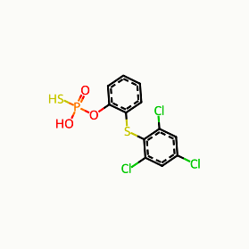 O=P(O)(S)Oc1ccccc1Sc1c(Cl)cc(Cl)cc1Cl